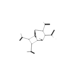 O=C(O)C1C2CCC(C1C(=O)O)C1C(C(=O)O)C(C(=O)O)C21